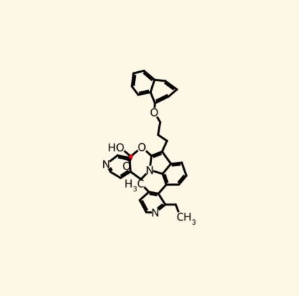 CCc1nccc(C)c1-c1cccc2c(CCCOc3cccc4ccccc34)c(OC(=O)O)n(Cc3ccncc3)c12